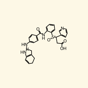 O=C(O)CC(c1cccnc1)[S+]([O-])c1ccccc1NC(=O)c1ccc(NN2CC3=C(C=CCC3)N2)cc1